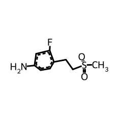 CS(=O)(=O)CCc1ccc(N)cc1F